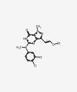 CCO/C=C/c1nn(C)c2c(=O)[nH]c(N(C)c3ccc(Cl)c(Cl)c3)nc12